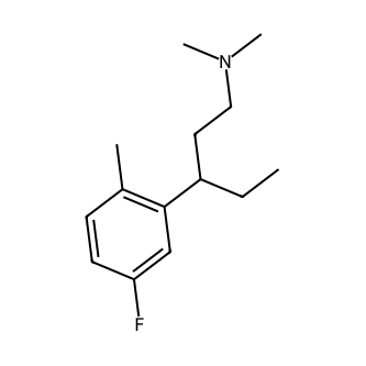 CCC(CCN(C)C)c1cc(F)ccc1C